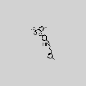 COC(=O)c1ccc(C)cc1Oc1ccc(CNCCCc2cccc(C)c2)cc1